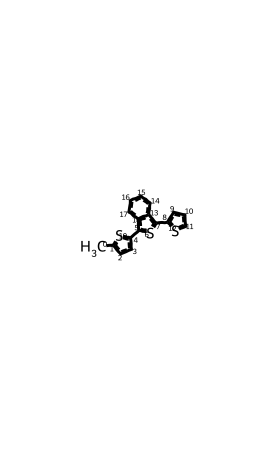 Cc1ccc(-c2sc(-c3cccs3)c3ccccc23)s1